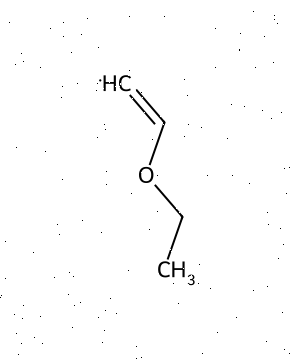 [CH]=COCC